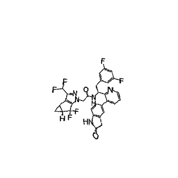 O=C1Cc2cc(-c3cccnc3[C@H](Cc3cc(F)cc(F)c3)NC(=O)Cn3nc(C(F)F)c4c3C(F)(F)[C@@H]3CC43)ccc2N1